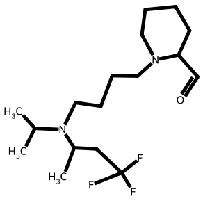 CC(C)N(CCCCN1CCCCC1C=O)C(C)CC(F)(F)F